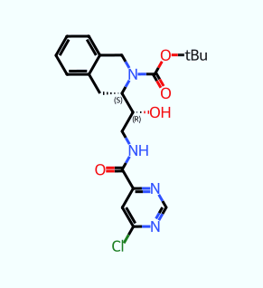 CC(C)(C)OC(=O)N1Cc2ccccc2C[C@H]1[C@H](O)CNC(=O)c1cc(Cl)ncn1